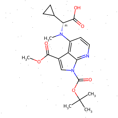 COC(=O)c1cn(C(=O)OC(C)(C)C)c2nccc(N(C)[C@@H](C(=O)O)C3CC3)c12